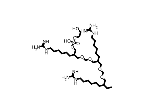 CCC(CCCCCCNC(=N)N)COCOCC(CCCCCCNC(=N)N)COCOCC(CCCCCCNC(=N)N)COP(=O)(O)OCCO